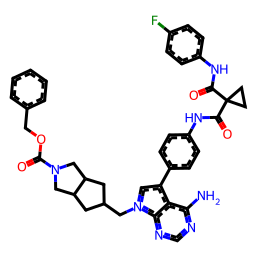 Nc1ncnc2c1c(-c1ccc(NC(=O)C3(C(=O)Nc4ccc(F)cc4)CC3)cc1)cn2CC1CC2CN(C(=O)OCc3ccccc3)CC2C1